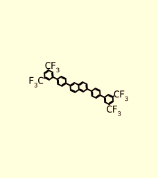 FC(F)(F)c1cc(-c2ccc(-c3ccc4cc(-c5ccc(-c6cc(C(F)(F)F)cc(C(F)(F)F)c6)cc5)ccc4c3)cc2)cc(C(F)(F)F)c1